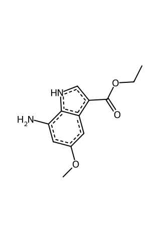 CCOC(=O)c1c[nH]c2c(N)cc(OC)cc12